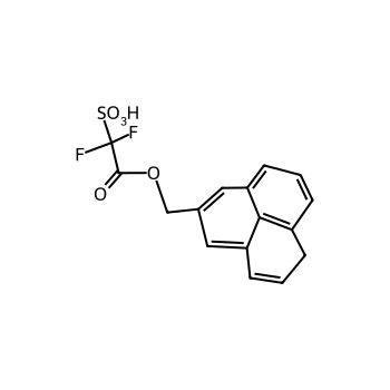 O=C(OCc1cc2c3c(cccc3c1)CC=C2)C(F)(F)S(=O)(=O)O